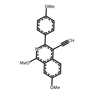 C#Cc1c(-c2ccc(OC)cc2)nc(OC)c2cc(OC)ccc12